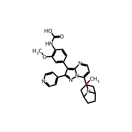 CCN1C2CCC1CC(c1ccnc3c(-c4ccc(NC(=O)O)c(OC)c4)c(-c4ccncc4)nn13)C2